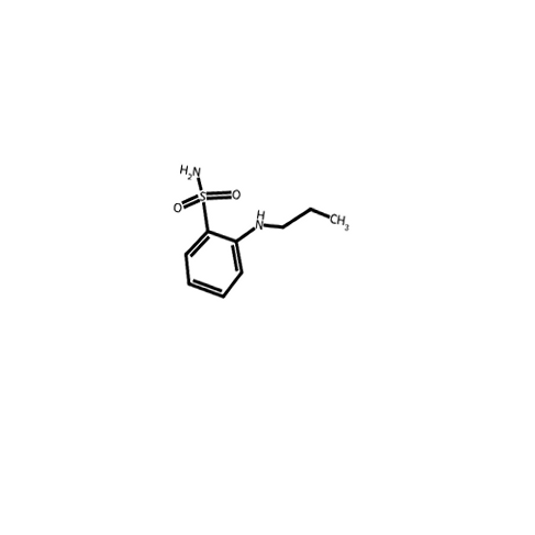 CCCNc1ccccc1S(N)(=O)=O